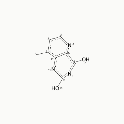 Cc1ccnc2c(O)nc(O)nc12